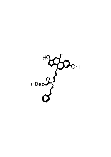 CCCCCCCCCCCC(=O)N(CCCC[C@@H]1Cc2cc(O)ccc2C2C1C1CC[C@H](O)[C@@]1(C)C[C@@H]2F)CCCc1ccccc1